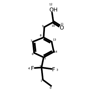 CCC(F)(F)c1ccc(CC(=O)O)cc1